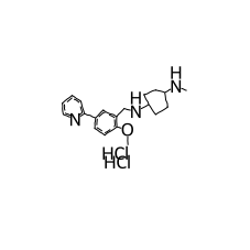 CNC1CCC(NCc2cc(-c3ccccn3)ccc2OC)CC1.Cl.Cl